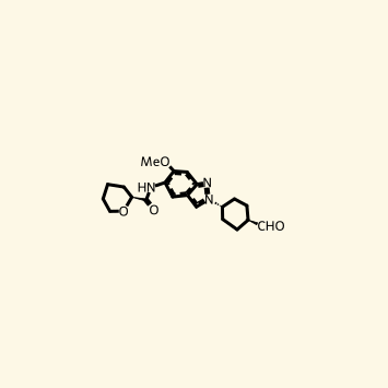 COc1cc2nn([C@H]3CC[C@H](C=O)CC3)cc2cc1NC(=O)[C@@H]1CCCCO1